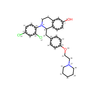 Oc1ccc2c(c1)CCN(c1ccc(Cl)cc1Cl)C2Cc1ccc(OCCN2CCCCC2)cc1